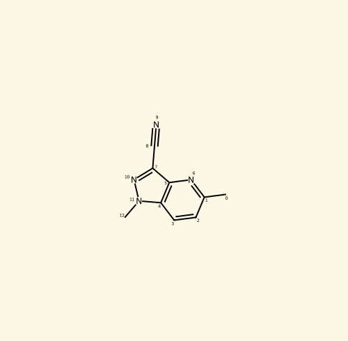 Cc1ccc2c(n1)c(C#N)nn2C